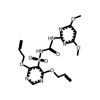 C=CCOc1ncnc(OCC=C)c1S(=O)(=O)NC(=O)Nc1nc(OC)cc(OC)n1